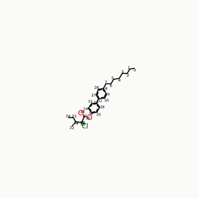 CCCCCCCCc1ccc(-c2ccc(OC(=O)[C@@H](Cl)[C@@H](C)CC)cc2)cc1